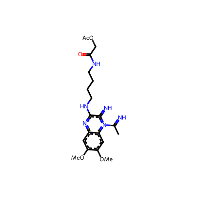 COc1cc2nc(NCCCCNC(=O)COC(C)=O)c(=N)n(C(C)=N)c2cc1OC